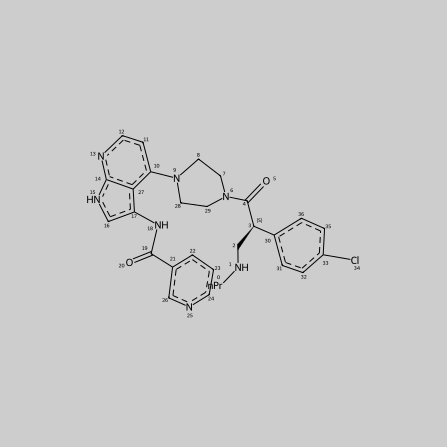 CCCNC[C@@H](C(=O)N1CCN(c2ccnc3[nH]cc(NC(=O)c4cccnc4)c23)CC1)c1ccc(Cl)cc1